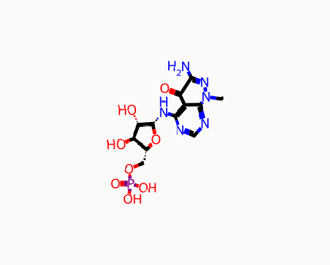 Cn1nc(N)c(=O)c2c(N[C@@H]3O[C@H](COP(=O)(O)O)C(O)[C@@H]3O)ncnc21